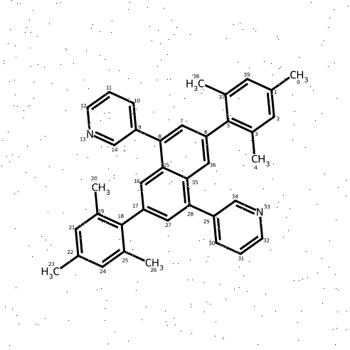 Cc1cc(C)c(-c2cc(-c3cccnc3)c3cc(-c4c(C)cc(C)cc4C)cc(-c4cccnc4)c3c2)c(C)c1